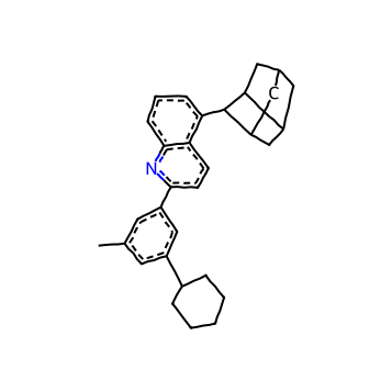 Cc1cc(-c2ccc3c(C4C5CC6CC7CC4C75C6)cccc3n2)cc(C2CCCCC2)c1